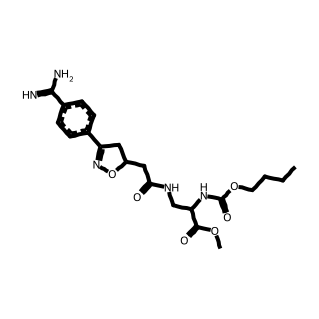 CCCCOC(=O)NC(CNC(=O)CC1CC(c2ccc(C(=N)N)cc2)=NO1)C(=O)OC